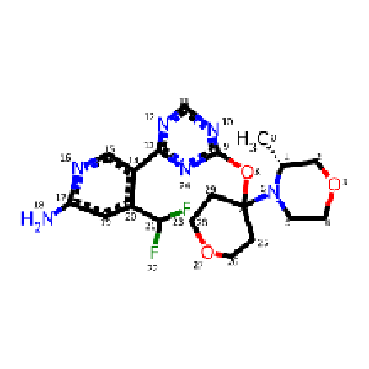 C[C@@H]1COCCN1C1(Oc2ncnc(-c3cnc(N)cc3C(F)F)n2)CCOCC1